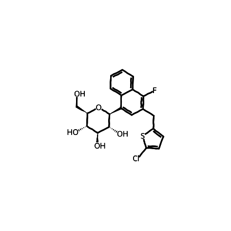 OC[C@H]1O[C@@H](c2cc(Cc3ccc(Cl)s3)c(F)c3ccccc23)[C@H](O)[C@@H](O)[C@@H]1O